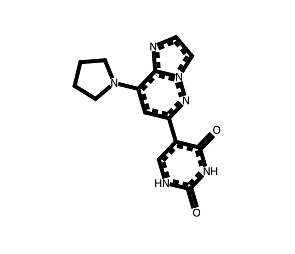 O=c1[nH]cc(-c2cc(N3CCCC3)c3nccn3n2)c(=O)[nH]1